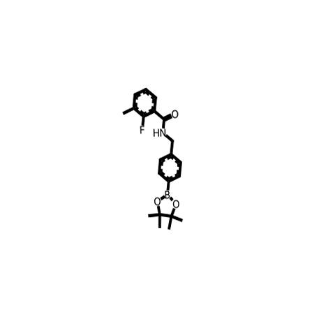 Cc1cccc(C(=O)NCc2ccc(B3OC(C)(C)C(C)(C)O3)cc2)c1F